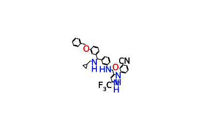 N#Cc1cccc(N/C(=C\C(=N)C(F)(F)F)C(=O)Nc2cccc(C(NCC3CC3)c3cccc(OCc4ccccc4)c3)c2)c1